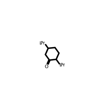 CC(C)C1CCC(C(C)C)C(=O)C1